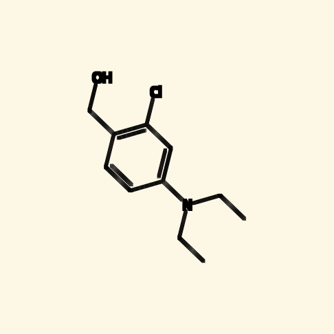 CCN(CC)c1ccc(CO)c(Cl)c1